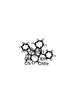 CO[C@H]1O[C@H](C(O)C#N)[C@](O)(C(=O)c2ccccc2)[C@@](O)(C(=O)c2ccccc2)[C@@]1(O)C(=O)c1ccccc1